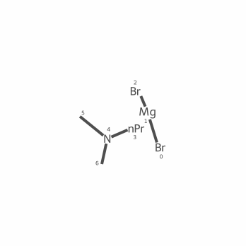 [Br][Mg][Br].[CH2]CCN(C)C